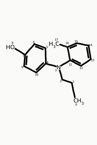 CCCN(c1ccc(O)cc1)c1ccccc1C